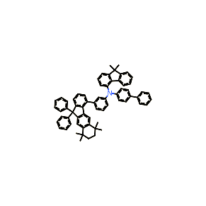 CC1(C)CCC(C)(C)c2cc3c(cc21)-c1c(-c2cccc(N(c4ccc(-c5ccccc5)cc4)c4cccc5c4-c4ccccc4C5(C)C)c2)cccc1C3(c1ccccc1)c1ccccc1